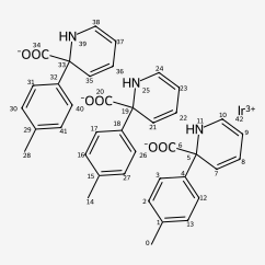 Cc1ccc(C2(C(=O)[O-])C=CC=CN2)cc1.Cc1ccc(C2(C(=O)[O-])C=CC=CN2)cc1.Cc1ccc(C2(C(=O)[O-])C=CC=CN2)cc1.[Ir+3]